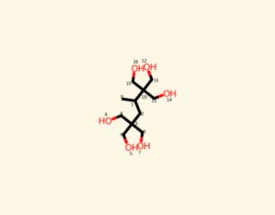 CC(CC(CO)(CO)CO)C(CO)(CO)CO